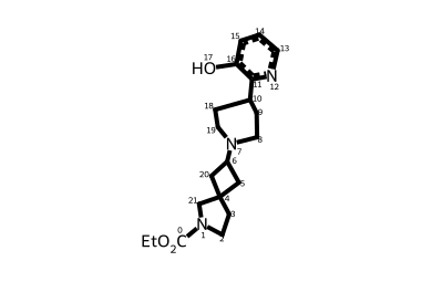 CCOC(=O)N1CCC2(CC(N3CCC(c4ncccc4O)CC3)C2)C1